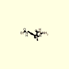 CCC(=O)NCC#Cc1cn(C)c2nc(N)[nH]c(=O)c12